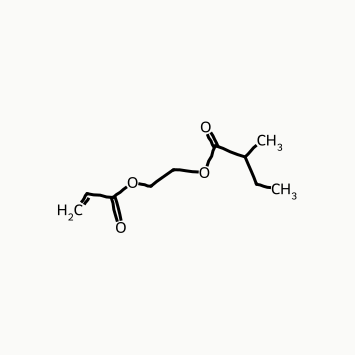 C=CC(=O)OCCOC(=O)C(C)CC